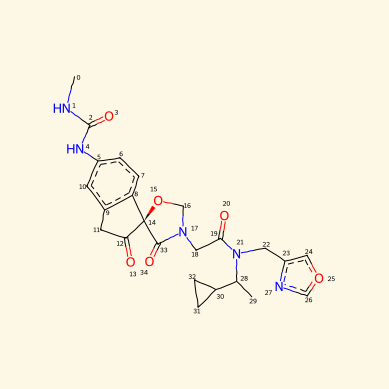 CNC(=O)Nc1ccc2c(c1)CC(=O)[C@]21OCN(CC(=O)N(Cc2cocn2)C(C)C2CC2)C1=O